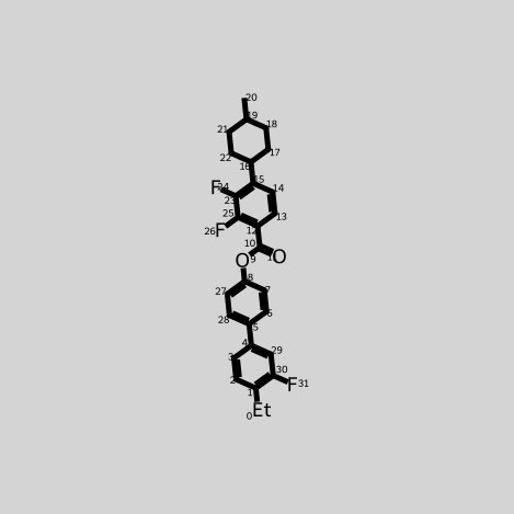 CCc1ccc(-c2ccc(OC(=O)c3ccc(C4CCC(C)CC4)c(F)c3F)cc2)cc1F